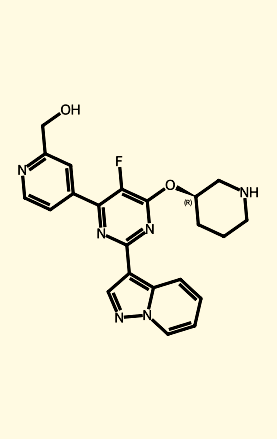 OCc1cc(-c2nc(-c3cnn4ccccc34)nc(O[C@@H]3CCCNC3)c2F)ccn1